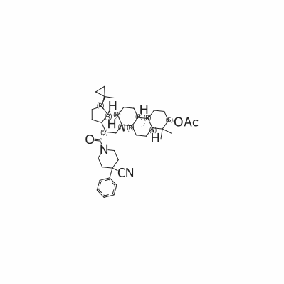 CC(=O)O[C@H]1CC[C@]2(C)[C@H]3CC[C@@H]4[C@@H]5C(CC[C@H]5C5(C)CC5)[C@@H](C(=O)N5CCC(C#N)(c6ccccc6)CC5)C[C@@]4(C)[C@]3(C)CC[C@H]2C1(C)C